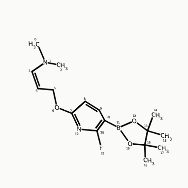 CN(C)/C=C\COc1ccc(B2OC(C)(C)C(C)(C)O2)c(F)n1